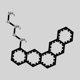 [SiH3]O[SiH2]O[SiH2]c1cccc2cc3ccc4cc5ccccc5cc4c3cc12